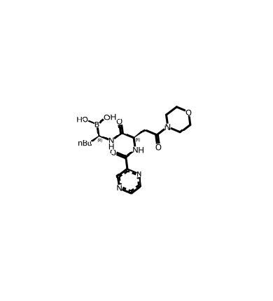 CCCC[C@H](NC(=O)[C@@H](CC(=O)N1CCOCC1)NC(=O)c1cnccn1)B(O)O